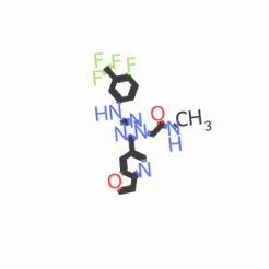 CNC(=O)Cn1nc(Nc2ccc(F)c(C(F)(F)F)c2)nc1-c1cnc2ccoc2c1